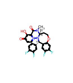 CN1C(=O)c2c(O)c(=O)ccn2N2[C@@H](c3ccc(F)c(F)c3)c3cc(F)c(F)cc3OCC[C@H]12